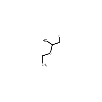 CCOC(O)CF